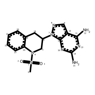 CS(=O)(=O)N1CC(n2ncc3c(N)nc(N)nc32)Cc2ccccc21